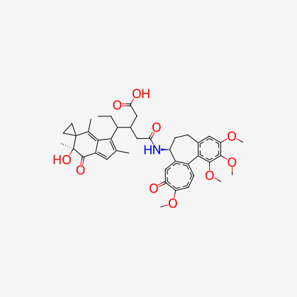 CCC(C1=C(C)C=C2C(=O)[C@@](C)(O)C3(CC3)C(C)=C21)C(CC(=O)O)CC(=O)N[C@H]1CCc2cc(OC)c(OC)c(OC)c2-c2ccc(OC)c(=O)cc21